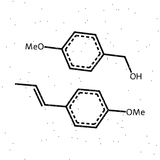 CC=Cc1ccc(OC)cc1.COc1ccc(CO)cc1